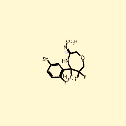 CC1(c2cc(Br)ccc2F)N/C(=N/C(=O)O)COCC1(F)F